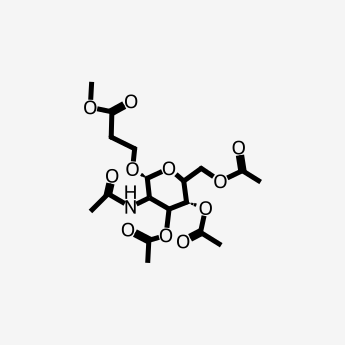 COC(=O)CCO[C@@H]1OC(COC(C)=O)[C@H](OC(C)=O)C(OC(C)=O)C1NC(C)=O